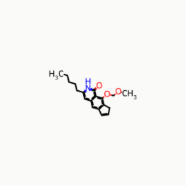 CCCCCc1cc2cc3c(c(OCOC)c2c(=O)[nH]1)CC=C3